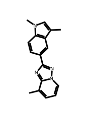 Cc1cn(C)c2ccc(-c3nc4c(C)cccn4n3)cc12